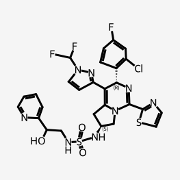 O=S(=O)(NCC(O)c1ccccn1)N[C@H]1CC2=C(c3ccn(C(F)F)n3)[C@H](c3ccc(F)cc3Cl)N=C(c3nccs3)N2C1